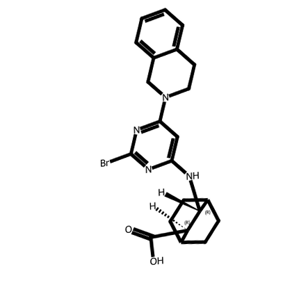 O=C(O)[C@@H]1C2CCC(CC2)[C@H]1Nc1cc(N2CCc3ccccc3C2)nc(Br)n1